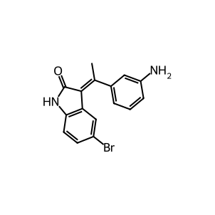 CC(=C1C(=O)Nc2ccc(Br)cc21)c1cccc(N)c1